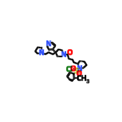 Cc1cccc(Cl)c1S(=O)(=O)N1CCCCC1CCCC(=O)N1CCC(CCCN2CCCC2)(c2ccncc2)CC1